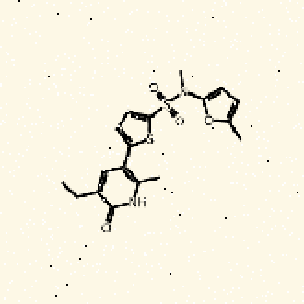 CCc1cc(-c2ccc(S(=O)(=O)N(C)c3ccc(C)o3)s2)c(C)[nH]c1=O